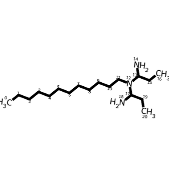 CCCCCCCCCCCCN(C(N)CC)C(N)CC